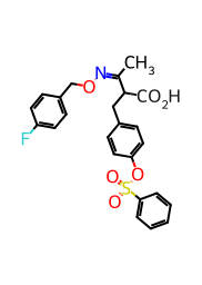 CC(=NOCc1ccc(F)cc1)C(Cc1ccc(OS(=O)(=O)c2ccccc2)cc1)C(=O)O